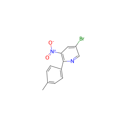 Cc1ccc(-c2ncc(Br)cc2[N+](=O)[O-])cc1